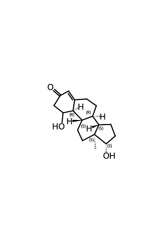 C[C@]12CC[C@H]3[C@@H](CCC4=CC(=O)CC(O)[C@@H]43)[C@@H]1CC[C@@H]2O